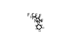 Fc1c(C(F)(F)C(F)(F)F)nn(-c2ccccc2)c1F